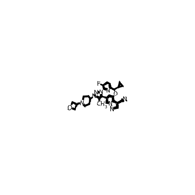 Cc1c(-c2cc(O[C@@H](c3ccc(F)cn3)C3CC3)c3c(C#N)cnn3c2)nnn1C1CCN(C2COC2)CC1